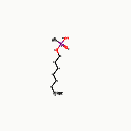 CCCCCCCCCCCCCOP(=O)(O)C(C)C